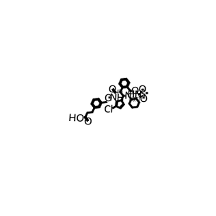 CS(=O)(=O)N[C@H]1CCCC[C@@H]1N1C(=O)c2ccccc2[C@@H](C(=O)NOCc2cccc(CCC(=O)O)c2)C1C1C=CC(Cl)=C1